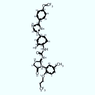 Cc1ccc(OCCC(F)(F)F)c(N2C(=O)CSC2=NC(=O)Nc2ccc(-n3cnc(-c4ccc(OC(F)(F)F)cc4)n3)cc2F)c1